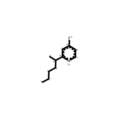 CCCCC(C)c1cc(F)ccn1